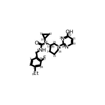 CCc1ccc(CNC(=O)N(C2CC2)[C@@H]2CCCN(c3nccc(O)n3)C2)c(F)c1